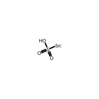 O=[S](=O)(O)[Sn]